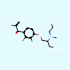 C=C(CC)C(=O)c1ccc(OCC(COC)N(C)CCOC)c(Cl)c1Cl